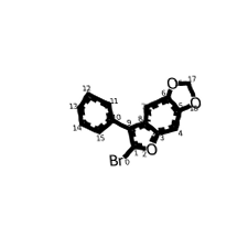 Brc1oc2cc3c(cc2c1-c1ccccc1)OCO3